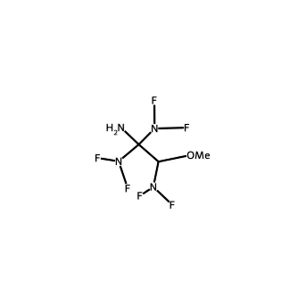 COC(N(F)F)C(N)(N(F)F)N(F)F